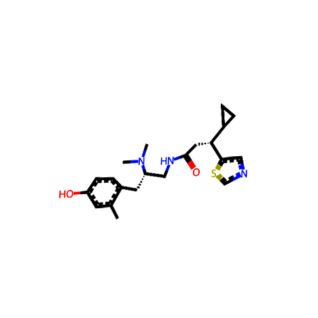 Cc1cc(O)ccc1C[C@@H](CNC(=O)C[C@@H](c1cncs1)C1CC1)N(C)C